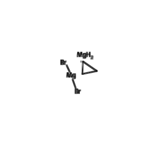 [Br][Mg][Br].[CH]1CC1.[MgH2]